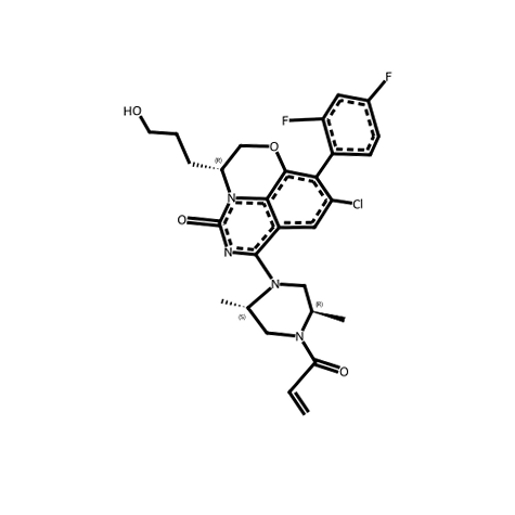 C=CC(=O)N1C[C@H](C)N(c2nc(=O)n3c4c(c(-c5ccc(F)cc5F)c(Cl)cc24)OC[C@H]3CCCO)C[C@H]1C